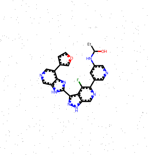 CCC(O)Nc1cncc(-c2ncc3[nH]nc(-c4nc5c(-c6ccoc6)cncc5[nH]4)c3c2F)c1